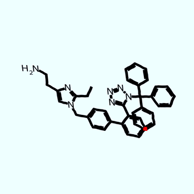 CCc1nc(CCN)cn1Cc1ccc(-c2ccccc2-c2nnnn2C(c2ccccc2)(c2ccccc2)c2ccccc2)cc1